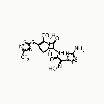 Nc1nc(/C(=N/O)C(=O)N[C@@H]2C(=O)N3C(C(=O)O)=C(Sc4nc(C(F)(F)F)ns4)CC[C@H]23)ns1